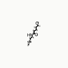 CSSCCNC(=O)CCCC=O